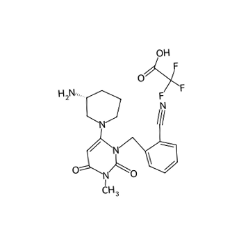 Cn1c(=O)cc(N2CCC[C@@H](N)C2)n(Cc2ccccc2C#N)c1=O.O=C(O)C(F)(F)F